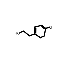 OCCC1=CC=C(Cl)C[CH]1